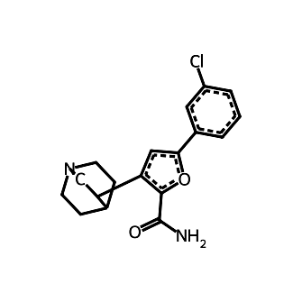 NC(=O)c1oc(-c2cccc(Cl)c2)cc1C1CN2CCC1CC2